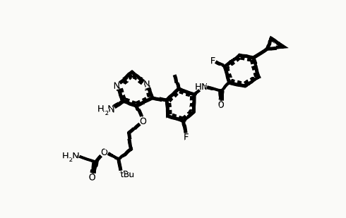 Cc1c(NC(=O)c2ccc(C3CC3)cc2F)cc(F)cc1-c1ncnc(N)c1OCCC(OC(N)=O)C(C)(C)C